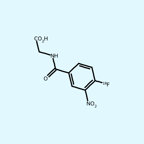 O=C(O)CNC(=O)c1ccc([18F])c([N+](=O)[O-])c1